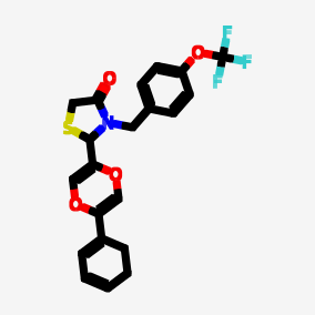 O=C1CSC(C2=COC(C3=CC=CCC3)=CO2)N1Cc1ccc(OC(F)(F)F)cc1